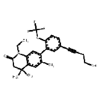 CCN1C(=O)CC(C)(C)c2cc(C)c(-c3cc(C#CCCO)ccc3OC(F)(F)F)cc21